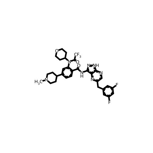 CN1CCC(c2ccc(C(=O)Nc3n[nH]c4ncc(Cc5cc(F)cc(F)c5)nc34)c(N(C(=O)C(F)(F)F)C3CCOCC3)c2)CC1